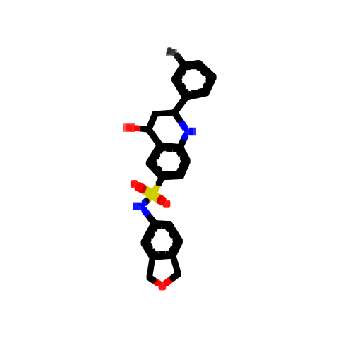 CC(=O)c1cccc(C2CC(O)c3cc(S(=O)(=O)Nc4ccc5c(c4)COC5)ccc3N2)c1